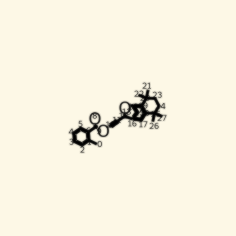 Cc1ccccc1C(=O)OC#CC1Oc2cc1cc1c2C(C)(C)CCC1(C)C